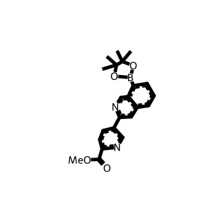 COC(=O)c1ccc(-c2cc3cccc(B4OC(C)(C)C(C)(C)O4)c3cn2)cn1